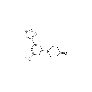 O=C1CCN(c2cc(-c3cnco3)cc(C(F)(F)F)c2)CC1